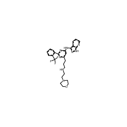 FC(F)(F)c1ccccc1-c1nc(CCCNCCN2CCOCC2)cc(Nc2n[nH]c3ncccc23)n1